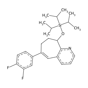 CC(C)[Si](OC1CCC(c2ccc(F)c(F)c2)=Cc2cccnc21)(C(C)C)C(C)C